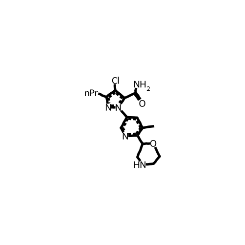 CCCc1nn(-c2cnc(C3CNCCO3)c(C)c2)c(C(N)=O)c1Cl